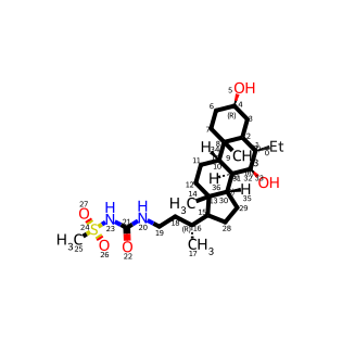 CC[C@@H]1C2C[C@H](O)CCC2(C)[C@H]2CCC3(C)C([C@H](C)CCNC(=O)NS(C)(=O)=O)CC[C@H]3[C@@H]2[C@@H]1O